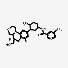 CC1CCC(NC(=O)c2cncc(C(F)(F)F)c2)CC1c1cc(F)c2c(c1)N1CCOCC1[C@](F)(CO)C2